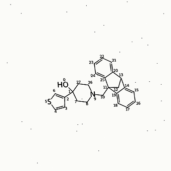 OC1(c2ccsc2)CCN(CC23CC(c4ccccc42)c2ccccc23)CC1